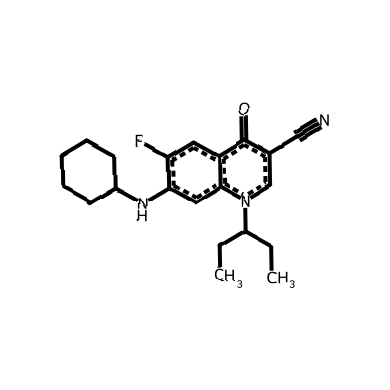 CCC(CC)n1cc(C#N)c(=O)c2cc(F)c(NC3CCCCC3)cc21